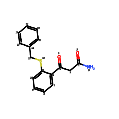 NC(=O)CC(=O)c1ccccc1SCc1ccccc1